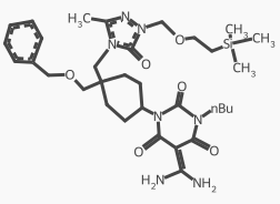 CCCCN1C(=O)C(=C(N)N)C(=O)N(C2CCC(COCc3ccccc3)(Cn3c(C)nn(COCC[Si](C)(C)C)c3=O)CC2)C1=O